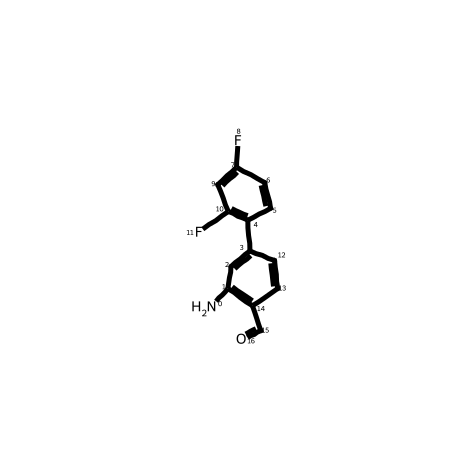 Nc1cc(-c2ccc(F)cc2F)ccc1C=O